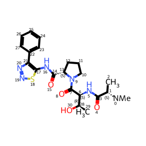 CN[C@@H](C)C(=O)N[C@H](C(=O)N1CCC[C@H]1C(=O)Nc1snnc1-c1ccccc1)[C@@H](C)O